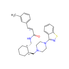 Cc1cccc(/C=C/C(=O)NC[C@H]2CCCC[C@@H]2CN2CCN(c3nsc4ccccc34)CC2)c1